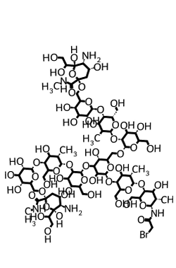 CNC(=O)[C@@]1(OCC2O[C@@H](O[C@@H]3C(CO)O[C@@H](OC4C(O)[C@H](O)C(CO)O[C@@H]4OC4C(O)[C@H](O[C@@H]5C(CO)O[C@@H](O[C@@H]6C(CO)O[C@@H](NC(=O)CBr)[C@@H](C)C6O)[C@@H](C)C5O)OC(CO[C@H]5OC(CO)[C@@H](O)C(O)[C@H]5O[C@@H]5O[C@@H](CO)[C@@H](O[C@@H]6OC(CO[C@]7(C(=O)NC)C[C@@H](O)[C@@H](N)[C@@](O)(C(O)CO)O7)[C@H](O)C(O)[C@@H]6O)C(O)C5C)[C@H]4O)[C@@H](C)C3O)[C@@H](O)C(O)[C@H]2O)C[C@@H](O)[C@@H](N)[C@@](O)(C(O)CO)O1